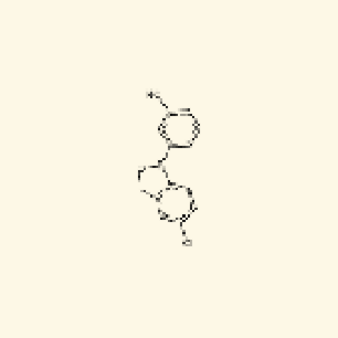 N#Cc1cccc(B2OCc3cc(Cl)ccc32)c1